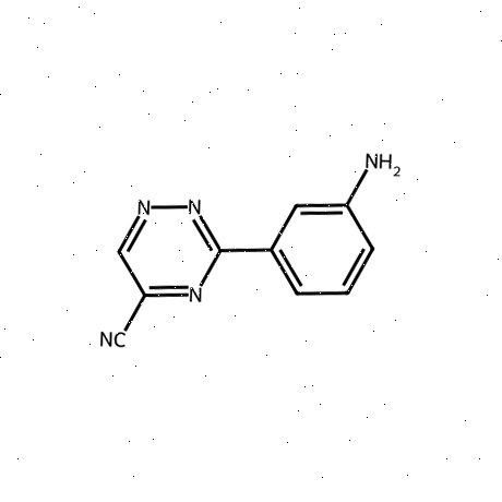 N#Cc1cnnc(-c2cccc(N)c2)n1